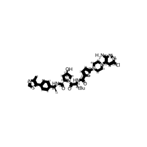 Cc1ncsc1-c1ccc([C@H](C)NC(=O)[C@@H]2C[C@@H](O)CN2C(=O)[C@@H](NC(=O)c2ccc(N3CCN(c4cc(Cl)nnc4N)CC3)s2)C(C)(C)C)cc1